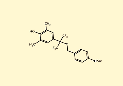 COc1ccc(COC(c2cc(C)c(O)c(C)c2)(C(F)(F)F)C(F)(F)F)cc1